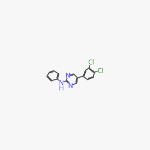 Clc1ccc(-c2cnc(Nc3ccccc3)nc2)cc1Cl